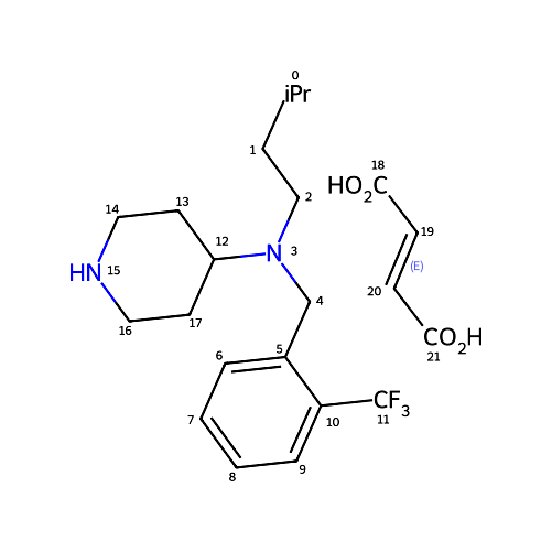 CC(C)CCN(Cc1ccccc1C(F)(F)F)C1CCNCC1.O=C(O)/C=C/C(=O)O